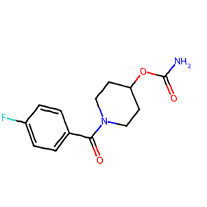 NC(=O)OC1CCN(C(=O)c2ccc(F)cc2)CC1